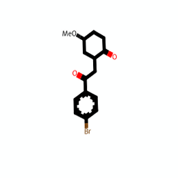 COC1CCC(=O)C(CC(=O)c2ccc(Br)cc2)C1